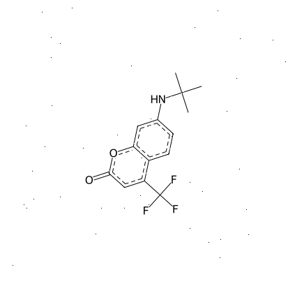 CC(C)(C)Nc1ccc2c(C(F)(F)F)cc(=O)oc2c1